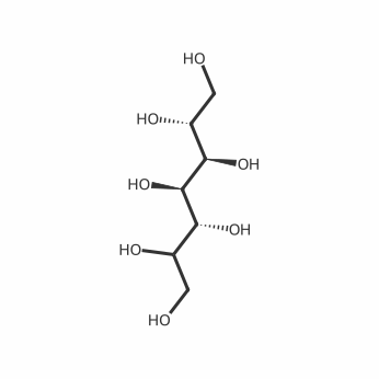 OCC(O)[C@@H](O)[C@@H](O)[C@H](O)[C@H](O)CO